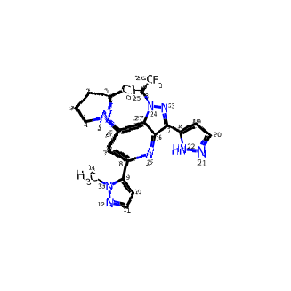 CC1CCCN1c1cc(-c2ccnn2C)nc2c(-c3ccn[nH]3)nn(CC(F)(F)F)c12